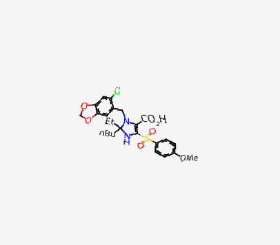 CCCCC1(CC)NC(S(=O)(=O)c2ccc(OC)cc2)=C(C(=O)O)N1Cc1cc2c(cc1Cl)OCO2